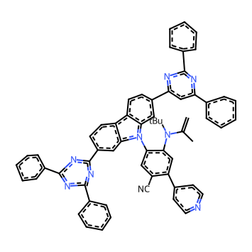 C=C(C)N(c1cc(-c2ccncc2)c(C#N)cc1-n1c2cc(-c3cc(-c4ccccc4)nc(-c4ccccc4)n3)ccc2c2ccc(-c3nc(-c4ccccc4)nc(-c4ccccc4)n3)cc21)C(C)(C)C